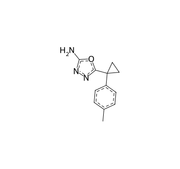 Cc1ccc(C2(c3nnc(N)o3)CC2)cc1